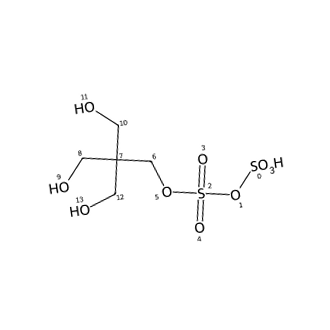 O=S(=O)(O)OS(=O)(=O)OCC(CO)(CO)CO